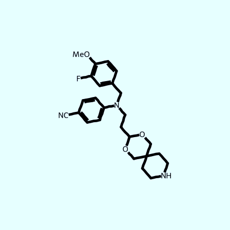 COc1ccc(CN(CCC2OCC3(CCNCC3)CO2)c2ccc(C#N)cc2)cc1F